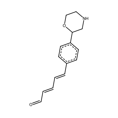 O=CC=CC=Cc1ccc(C2CNCCO2)cc1